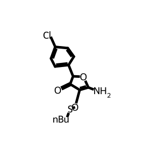 CCCCSOC1=C(N)OC(c2ccc(Cl)cc2)C1=O